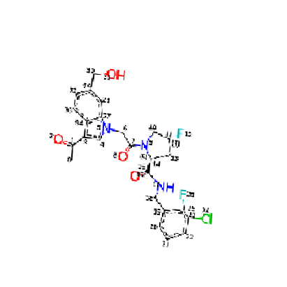 CC(=O)c1cn(CC(=O)N2C[C@H](F)C[C@H]2C(=O)NCc2cccc(Cl)c2F)c2cc(CO)ccc12